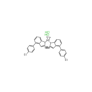 CCc1ccc(-c2cccc3c2C=C(C(C)(C)C)[CH]3[Hf]2([CH]3C(C(C)(C)C)=Cc4c(-c5ccc(CC)cc5)cccc43)[CH2][CH2]2)cc1.Cl.Cl